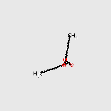 CCCCCC=CCC=CCCCCCCCCOc1cc(CC=O)cc(OCCCCCCCCC=CCC=CCCCCC)c1